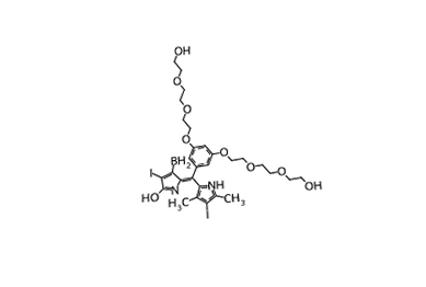 BC1=C(I)C(O)=N/C1=C(/c1cc(OCCOCCOCCO)cc(OCCOCCOCCO)c1)c1[nH]c(C)c(I)c1C